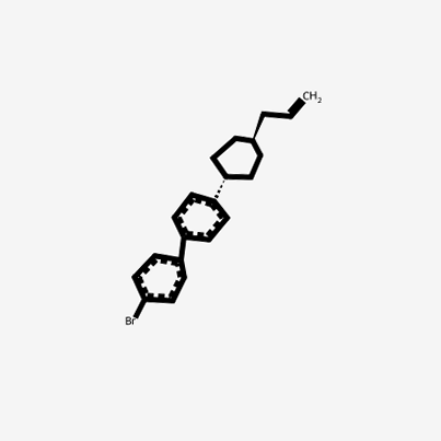 C=CC[C@H]1CC[C@H](c2ccc(-c3ccc(Br)cc3)cc2)CC1